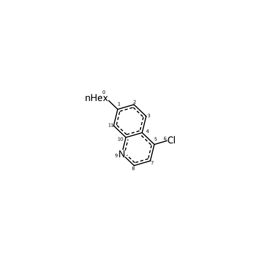 CCCCCCc1ccc2c(Cl)ccnc2c1